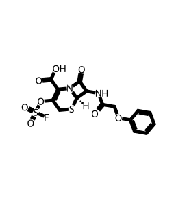 O=C(COc1ccccc1)NC1C(=O)N2C(C(=O)O)=C(OS(=O)(=O)F)CS[C@H]12